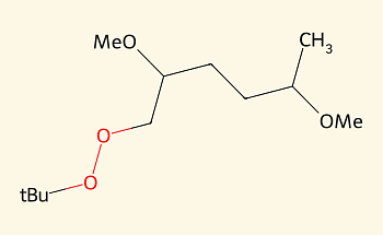 COC(C)CCC(COOC(C)(C)C)OC